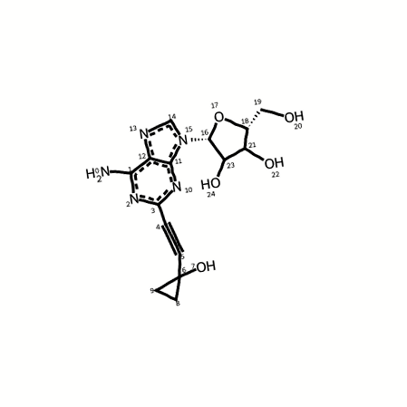 Nc1nc(C#CC2(O)CC2)nc2c1ncn2[C@@H]1O[C@H](CO)C(O)C1O